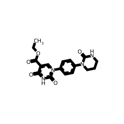 CCOC(=O)c1cn(-c2ccc(N3CCCNC3=O)cc2)c(=O)[nH]c1=O